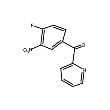 O=C(c1ccc(F)c([N+](=O)[O-])c1)c1ccccn1